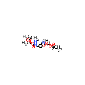 C=C(C)C(=O)OCCOC(=O)N(C)CC1CCCC(CNC(=O)OCC(C)OC(=O)C(=C)C)C1